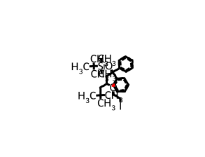 CC(C)(C)CC(CC(O[Si](C)(C)C(C)(C)C)(c1ccccc1)c1ccccc1)OCCI